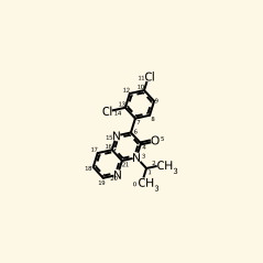 CC(C)n1c(=O)c(-c2ccc(Cl)cc2Cl)nc2cccnc21